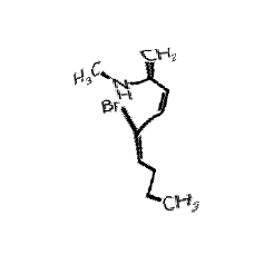 C=C(/C=C\C(Br)=C/CCC)NC